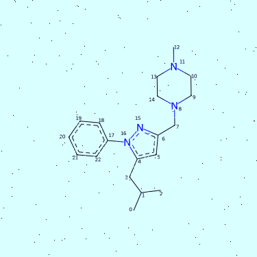 CC(C)Cc1cc(CN2CCN(C)CC2)nn1-c1ccccc1